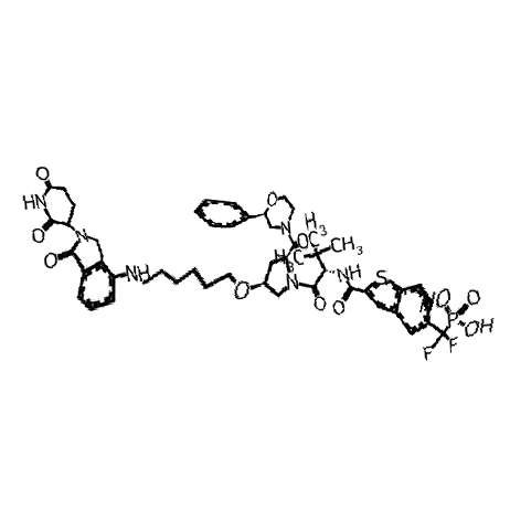 CC(C)(C)[C@H](NC(=O)c1cc2cc(C(F)(F)P(=O)(O)O)ccc2s1)C(=O)N1C[C@@H](OCCCCCCNc2cccc3c2CN(C2CCC(=O)NC2=O)C3=O)C[C@H]1C(=O)N1CCO[C@H](c2ccccc2)C1